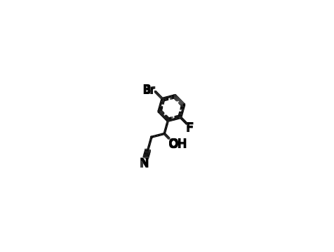 N#CCC(O)c1cc(Br)ccc1F